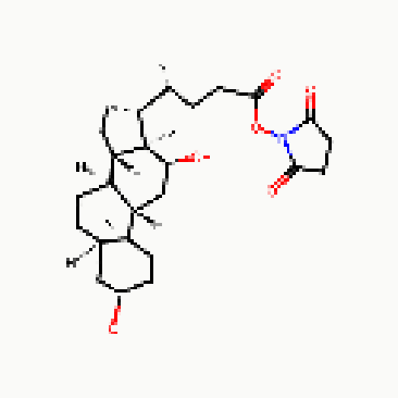 C[C@H](CCC(=O)ON1C(=O)CCC1=O)[C@H]1CC[C@H]2[C@@H]3CC[C@@H]4C[C@H](O)CC[C@]4(C)[C@H]3C[C@H](O)[C@]12C